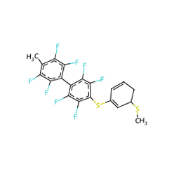 CSC1C=C(Sc2c(F)c(F)c(-c3c(F)c(F)c(C)c(F)c3F)c(F)c2F)C=CC1